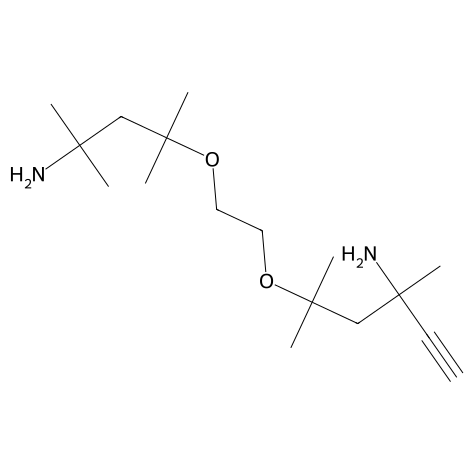 C#CC(C)(N)CC(C)(C)OCCOC(C)(C)CC(C)(C)N